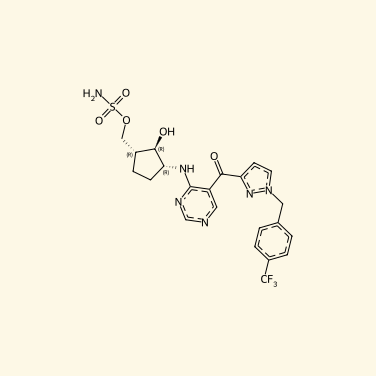 NS(=O)(=O)OC[C@H]1CC[C@@H](Nc2ncncc2C(=O)c2ccn(Cc3ccc(C(F)(F)F)cc3)n2)[C@@H]1O